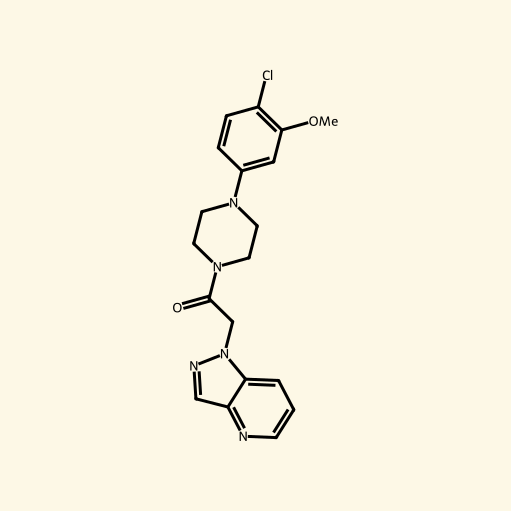 COc1cc(N2CCN(C(=O)Cn3ncc4ncccc43)CC2)ccc1Cl